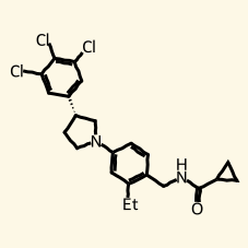 CCc1cc(N2CC[C@H](c3cc(Cl)c(Cl)c(Cl)c3)C2)ccc1CNC(=O)C1CC1